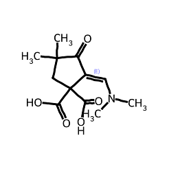 CN(C)/C=C1/C(=O)C(C)(C)CC1(C(=O)O)C(=O)O